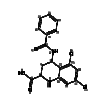 O=C(NC1CC(C(=O)O)Nc2cc(Cl)cc(Cl)c21)c1ccccc1